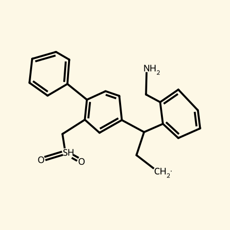 [CH2]CC(c1ccc(-c2ccccc2)c(C[SH](=O)=O)c1)c1ccccc1CN